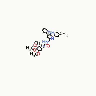 COc1cc(/C=C/C(=O)NCc2cc3c([nH]c4ccccc43)c(-c3ccc(C)cc3)n2)cc(OC)c1OC